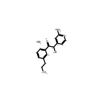 Br.CCCc1cccc(C(=O)C(Br)c2ccnc(N)c2)c1